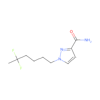 CC(F)(F)CCCCn1c[c]c(C(N)=O)n1